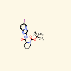 CC(C)(C)OC(=O)N1CCCCC1C(=O)Nc1cn2cc(I)ccc2n1